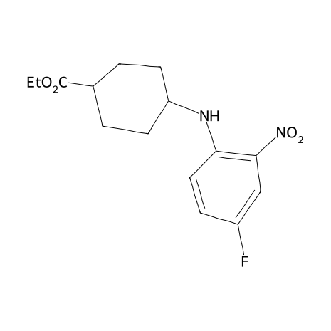 CCOC(=O)C1CCC(Nc2ccc(F)cc2[N+](=O)[O-])CC1